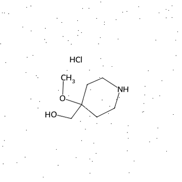 COC1(CO)CCNCC1.Cl